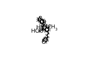 Cc1cc(CCCN2CCOCC2)cc2c(=O)[nH]c(-c3cc4ccsc4cn3)nc12.Cl